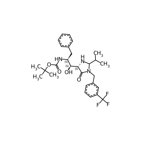 CC(C)C1N[C@@H]([C@@H](O)[C@H](Cc2ccccc2)NC(=O)OC(C)(C)C)C(=O)N1Cc1cccc(C(F)(F)F)c1